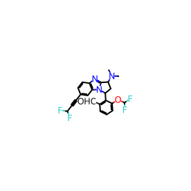 CN(C)C1CC(c2c(C=O)cccc2OC(F)F)n2c1nc1ccc(C#CC(F)F)cc12